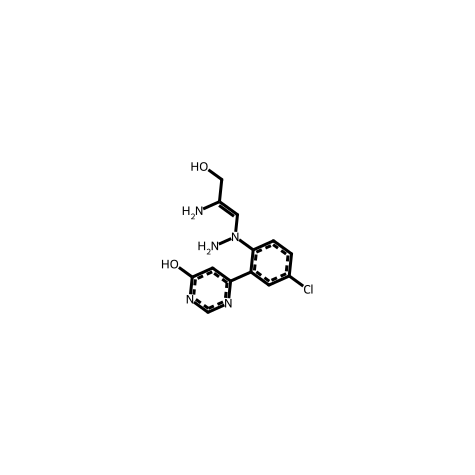 N/C(=C\N(N)c1ccc(Cl)cc1-c1cc(O)ncn1)CO